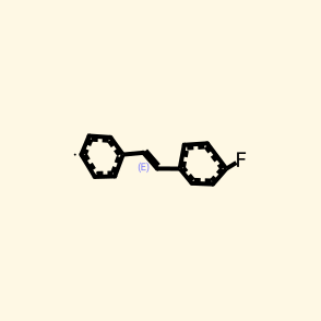 Fc1ccc(/C=C/c2cc[c]cc2)cc1